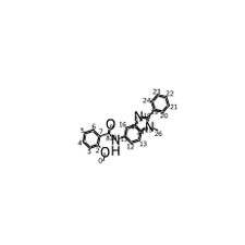 COc1ccccc1C(=O)Nc1ccc2c(c1)nc(-c1ccccc1)n2C